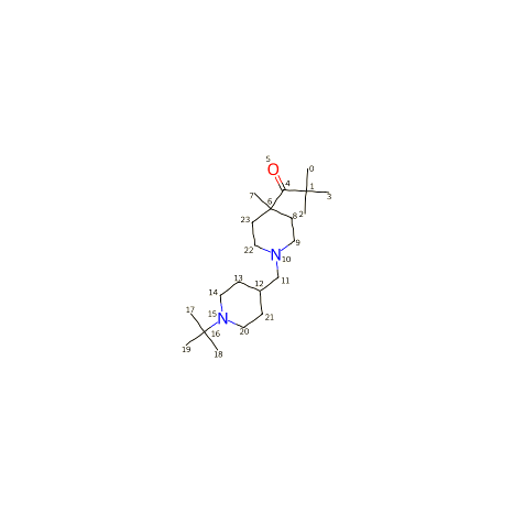 CC(C)(C)C(=O)C1(C)CCN(CC2CCN(C(C)(C)C)CC2)CC1